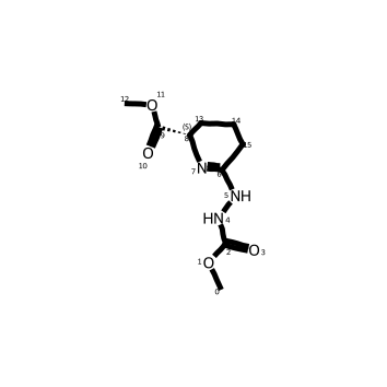 COC(=O)NNC1=N[C@H](C(=O)OC)CCC1